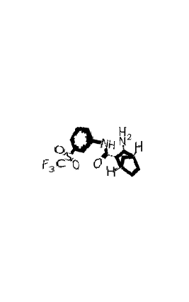 N[C@@H]1[C@H]2CC[C@H](C2)[C@@H]1C(=O)Nc1cccc(S(=O)(=O)C(F)(F)F)c1